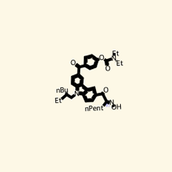 CCCCC/C(=N\O)C(=O)c1ccc2c(c1)c1cc(C(=O)c3ccc(OC(=O)N(CC)CC)cc3)ccc1n2CC(CC)CCCC